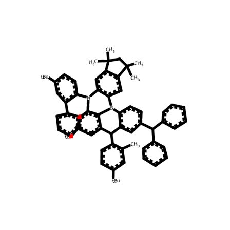 Cc1cc(C(C)(C)C)ccc1C1c2cc(C(c3ccccc3)c3ccccc3)ccc2B2c3cc4c(cc3N(c3ccc(C(C)(C)C)cc3-c3ccccc3)c3cc(C(C)(C)C)cc1c32)C(C)(C)CC4(C)C